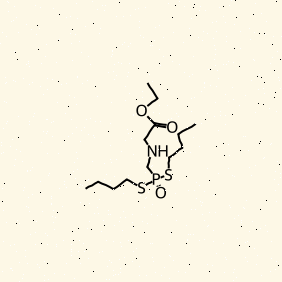 CCCCSP(=O)(CNCC(=O)OCC)SCCCC